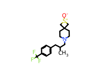 CC(Cc1ccc(C(F)(F)F)cc1)CN1CCC2(CC1)C[S+]([O-])C2